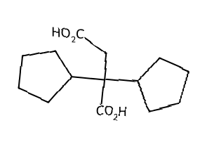 O=C(O)CC(C(=O)O)(C1CCCC1)C1CCCC1